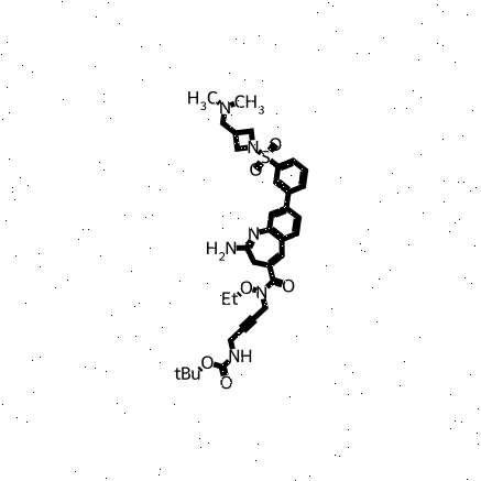 CCON(CC#CCNC(=O)OC(C)(C)C)C(=O)C1=Cc2ccc(-c3cccc(S(=O)(=O)N4CC(CN(C)C)C4)c3)cc2N=C(N)C1